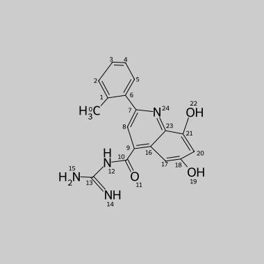 Cc1ccccc1-c1cc(C(=O)NC(=N)N)c2cc(O)cc(O)c2n1